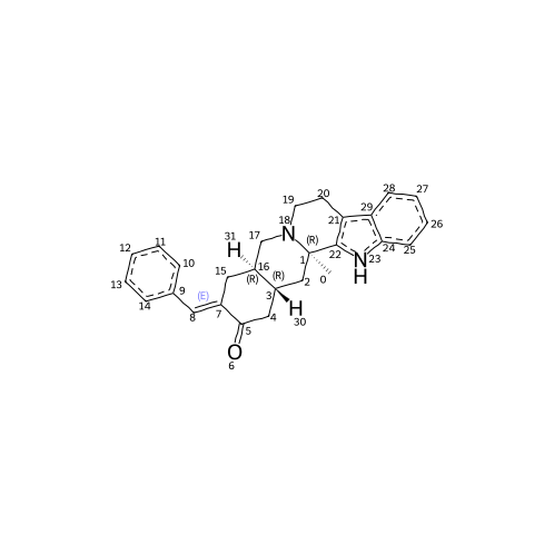 C[C@]12C[C@@H]3CC(=O)/C(=C/c4ccccc4)C[C@H]3CN1CCc1c2[nH]c2ccccc12